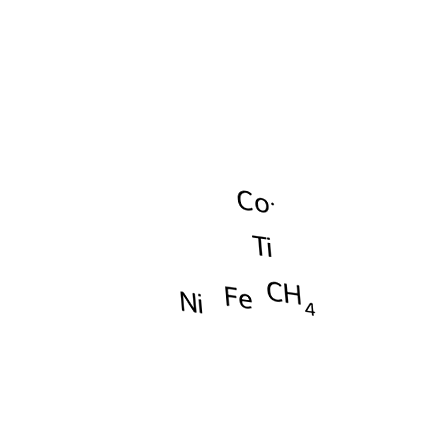 C.[Co].[Fe].[Ni].[Ti]